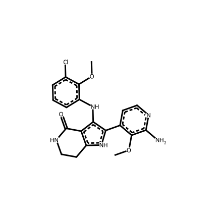 COc1c(Cl)cccc1Nc1c(-c2ccnc(N)c2OC)[nH]c2c1C(=O)NCC2